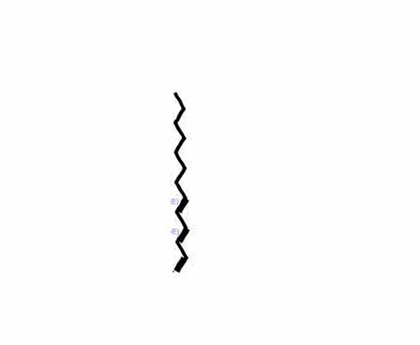 [CH]=C/C=C/C=C/CCCCCCC